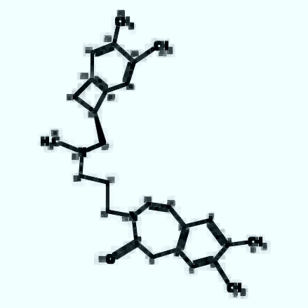 Cc1cc2c(cc1C)CC(=O)N(CCCN(C)C[C@H]1Cc3cc(C)c(C)cc31)C=C2